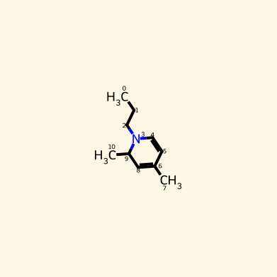 CCCN1C=CC(C)=CC1C